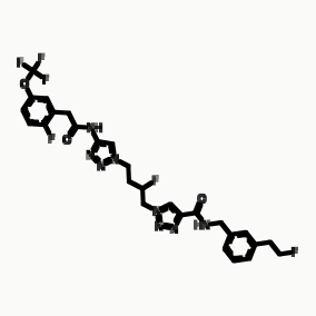 O=C(Cc1cc(OC(F)(F)F)ccc1F)Nc1cn(CCC(F)Cn2cc(C(=O)NCc3cccc(CCF)c3)nn2)nn1